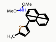 CONOC.Cc1ccc(-c2c3ccc4cc3ccc24)s1